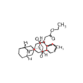 CCOC(=O)Cn1c(=O)n([C@H]2C[C@H]3CCC[C@@H](C2)N3C2C[C@H]3CC(CC)C[C@@H](C2)C3)c(=O)c2ccccc21